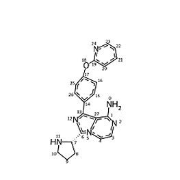 Nc1nccn2c([C@@H]3CCCN3)nc(-c3ccc(Oc4ccccn4)cc3)c12